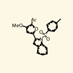 COc1cc(-c2cc3ccccc3n2S(=O)(=O)c2ccc(C)cc2)oc1C(C)=O